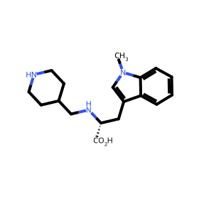 Cn1cc(C[C@@H](NCC2CCNCC2)C(=O)O)c2ccccc21